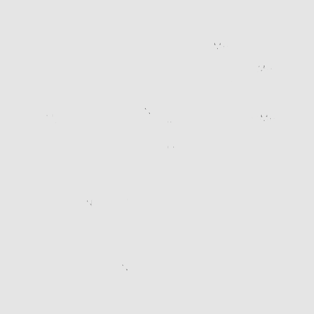 COc1cc(C(=O)Nc2cc(C(=O)O)cc(-c3nc4ccncc4s3)c2)cc(OC)c1OC